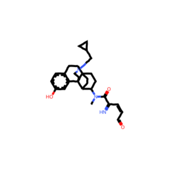 CN(C(=O)C(=N)/C=C\C=O)C1CCC23CCC1C21CCN(CC2CC2)C3Cc2ccc(O)cc21